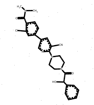 CN(C)C(=O)c1ccc(-c2cnc(N3CCN(C(=O)C(O)c4ccccc4)CC3)c(C#N)c2)cc1Cl